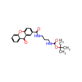 CC(C)(C)OC(=O)NCCCNC(=O)c1ccc2oc3ccccc3c(=O)c2c1